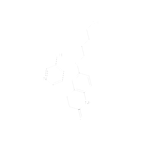 O=C1CCc2cc(OCCCCS)ccc2N1.Oc1cccnc1